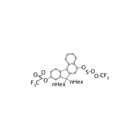 CCCCCCC1(CCCCCC)c2cc(OS(=O)(=O)C(F)(F)F)ccc2-c2c1cc(OSOOC(F)(F)F)c1ccccc21